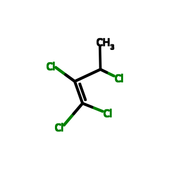 CC(Cl)C(Cl)=C(Cl)Cl